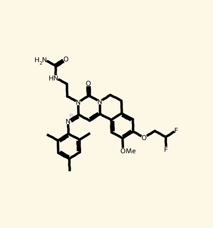 COc1cc2c(cc1OCC(F)F)CCn1c-2c/c(=N\c2c(C)cc(C)cc2C)n(CCNC(N)=O)c1=O